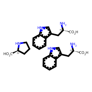 N[C@@H](Cc1c[nH]c2ccccc12)C(=O)O.N[C@@H](Cc1c[nH]c2ccccc12)C(=O)O.O=C(O)[C@@H]1CCCN1